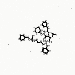 CC(C)C[C@@H](C(=O)NN(CCCCNC(=O)OCc1ccccc1)Cc1ccccc1)[C@H](CCCc1ccccc1)C(=O)NOC1CCCCO1